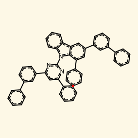 c1ccc(-c2cccc(-c3cc(-c4ccccc4)c4c(c3)c3ccccc3n4-c3nc(-c4ccccc4)cc(-c4cccc(-c5ccccc5)c4)n3)c2)cc1